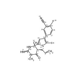 C=CC[C@H]1C(=O)N(C)C(=N)N[C@]1(C)c1cc(-c2ccc(F)c(C#N)c2)c(I)s1